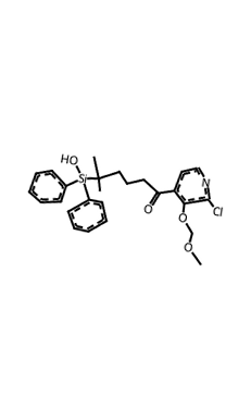 COCOc1c(C(=O)CCCC(C)(C)[Si](O)(c2ccccc2)c2ccccc2)ccnc1Cl